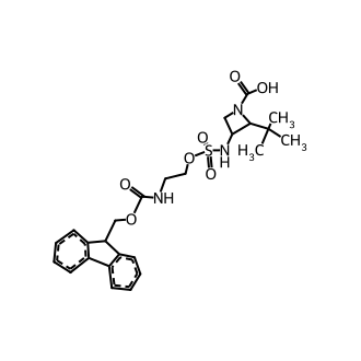 CC(C)(C)C1C(NS(=O)(=O)OCCNC(=O)OCC2c3ccccc3-c3ccccc32)CN1C(=O)O